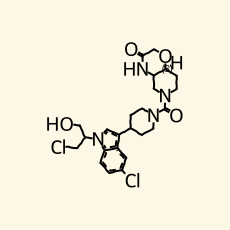 O=C1CO[C@H]2CCN(C(=O)N3CCC(c4cn(C(CO)CCl)c5ccc(Cl)cc45)CC3)CC2N1